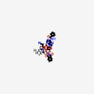 CO[C@@H]1[C@H](OP(OCCC#N)N(C(C)C)C(C)C)[C@@H](CON2C(=O)c3ccccc3C2=O)O[C@H]1n1cnc2c(NC(=O)c3ccccc3)ncnc21